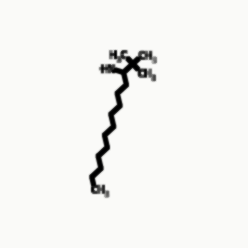 CCCCCCCCCCCC([NH])C(C)(C)C